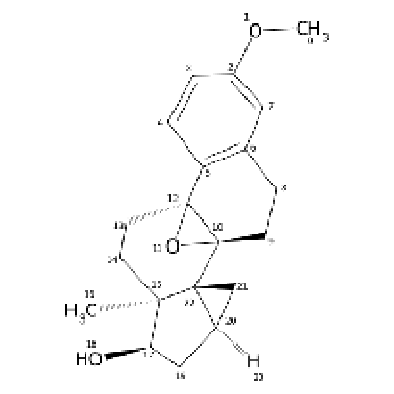 COc1ccc2c(c1)CC[C@@]13O[C@@]21CC[C@]1(C)[C@H](O)C[C@@H]2C[C@]231